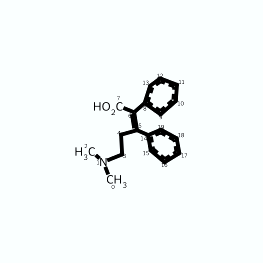 CN(C)CCC(=C(C(=O)O)c1ccccc1)c1ccccc1